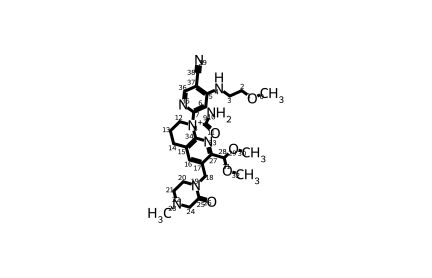 COCCNc1cc([N+]2(C(N)=O)CCCc3cc(CN4CCN(C)CC4=O)c(C(OC)OC)nc32)ncc1C#N